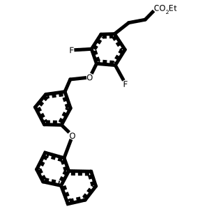 CCOC(=O)CCc1cc(F)c(OCc2cccc(Oc3cccc4ccccc34)c2)c(F)c1